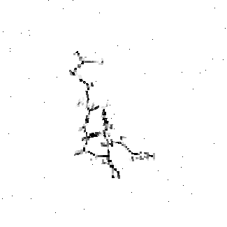 CC(C)CCOc1ccc2c(c1)CCC(=O)N2CCO